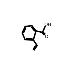 C=Cc1ccccc1C(=O)O